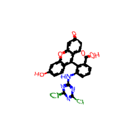 O=C(O)c1cccc(Nc2nc(Cl)nc(Cl)n2)c1-c1c2ccc(=O)cc-2oc2cc(O)ccc12